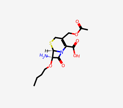 CCCCO[C@]1(N)C(=O)N2C(C(=O)O)=C(COC(C)=O)CS[C@@H]21